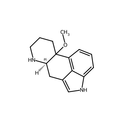 COC12CCCN[C@@H]1Cc1c[nH]c3cccc2c13